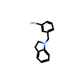 O=Cc1cccc(CN2CCc3ccccc32)c1